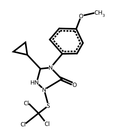 COc1ccc(N2C(=O)N(SC(Cl)(Cl)Cl)NC2C2CC2)cc1